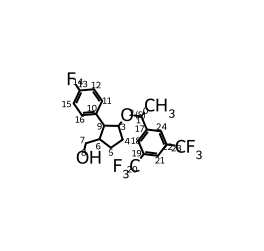 C[C@H](OC1CCC(CO)C1c1ccc(F)cc1)c1cc(C(F)(F)F)cc(C(F)(F)F)c1